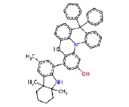 Cc1cc(-c2cc(O)cc3c2Bc2cccc4c2N3c2ccccc2C4(c2ccccc2)c2ccccc2)c2c(c1)C1(C)CCCCC1(C)N2